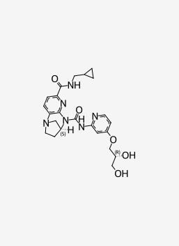 O=C(NCC1CC1)c1ccc2c(n1)N(C(=O)Nc1cc(OC[C@H](O)CO)ccn1)[C@H]1CCN2C1